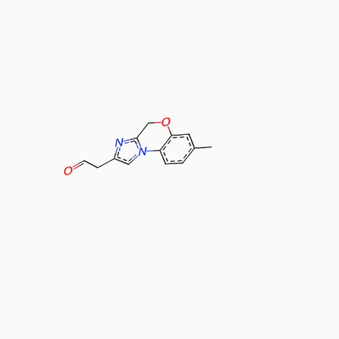 Cc1ccc2c(c1)OCc1nc(CC=O)cn1-2